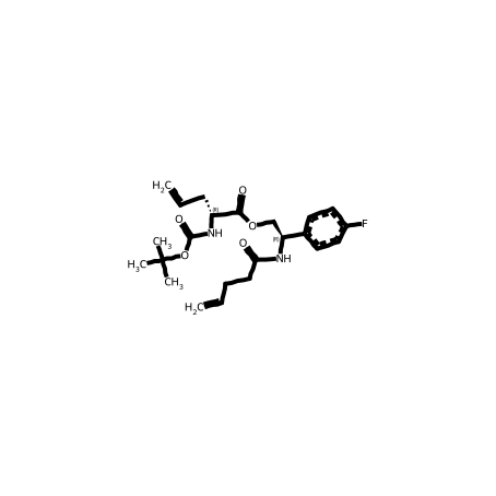 C=CCCC(=O)N[C@@H](COC(=O)[C@@H](CC=C)NC(=O)OC(C)(C)C)c1ccc(F)cc1